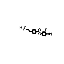 CCCCc1ccc(C(=O)Oc2ccc(C#N)c(F)c2)cc1